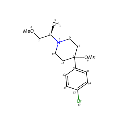 COC[C@@H](C)N1CCC(OC)(c2ccc(Br)cc2)CC1